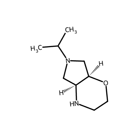 CC(C)N1C[C@@H]2NCCO[C@@H]2C1